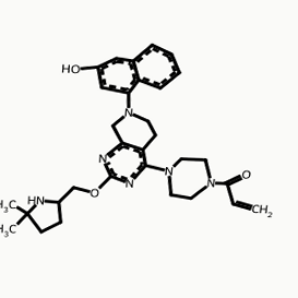 C=CC(=O)N1CCN(c2nc(OCC3CCC(C)(C)N3)nc3c2CCN(c2cc(O)cc4ccccc24)C3)CC1